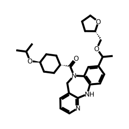 CC(C)O[C@H]1CC[C@H](C(=O)N2Cc3cccnc3Nc3ccc(C(C)OC[C@@H]4CCCO4)cc32)CC1